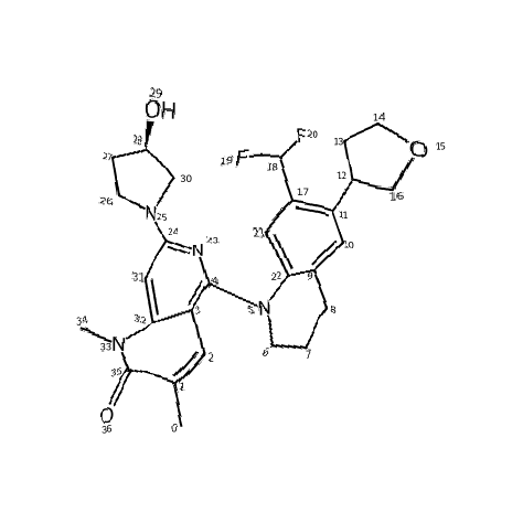 Cc1cc2c(N3CCCc4cc(C5CCOC5)c(C(F)F)cc43)nc(N3CC[C@@H](O)C3)cc2n(C)c1=O